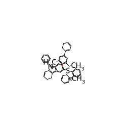 Cc1cc(C2=CC=CCC2)cc(C(C)S(c2ccccc2)(c2ccc3c(c2)c2c(n3-c3ccccc3)C=CCC2)C2C=CC=C[C@@H]2C)c1